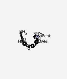 CCCCCN/C(=C1/C(=N)C=CN1Cc1ccc(CN2CCN(C(=O)OCc3ccc(NC(=O)CCCCCN)cc3)CC2)cc1OC)C(C)C